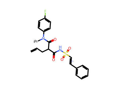 C=CCC(C(=O)NS(=O)(=O)/C=C/c1ccccc1)C(=O)N(c1ccc(F)cc1)C(C)C